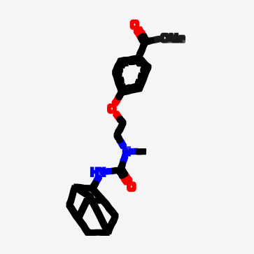 COC(=O)c1ccc(OCCN(C)C(=O)NC2C3CC4CC(C3)CC2C4)cc1